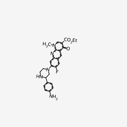 CCOC(=O)c1cn(C)c2nc3cc(N4CCNC(c5ccc(N)cc5)C4)c(F)cc3cc2c1=O